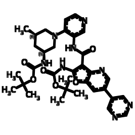 C[C@@H]1C[C@H](NC(=O)OC(C)(C)C)CN(c2ccncc2NC(=O)c2c(NC(=O)OC(C)(C)C)oc3cc(-c4cncnc4)cnc23)C1